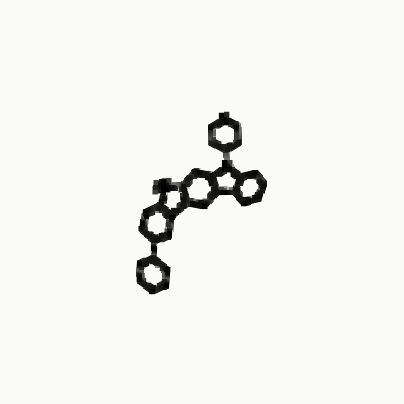 c1ccc(-c2ccc3[nH]c4cc5c(cc4c3c2)c2ccccc2n5-c2ccncc2)cc1